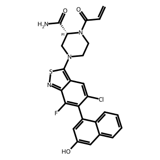 C=CC(=O)N1CCN(c2snc3c(F)c(-c4cc(O)cc5ccccc45)c(Cl)cc23)C[C@@H]1C(N)=O